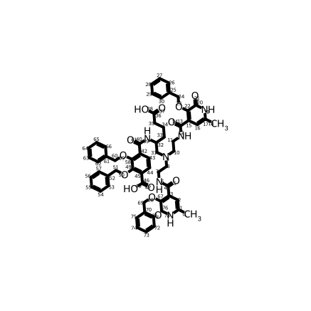 Cc1cc(C(=O)NCCN(CCNC(=O)c2cc(C)[nH]c(=O)c2OCc2ccccc2)CC(CCCC(=O)O)NC(=O)c2ccc(C(=O)O)c(OCc3ccccc3)c2OCc2ccccc2)c(OCc2ccccc2)c(=O)[nH]1